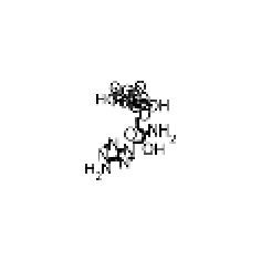 Nc1ncnc2c1ncn2C1OC(COP(=O)(O)OP(=O)(O)OP(=O)(O)O)C(N)C1O